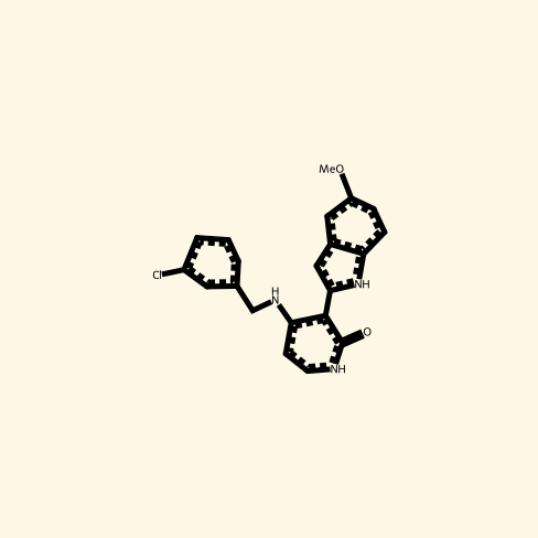 COc1ccc2[nH]c(-c3c(NCc4cccc(Cl)c4)cc[nH]c3=O)cc2c1